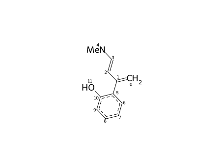 C=C(/C=C/NC)c1ccccc1O